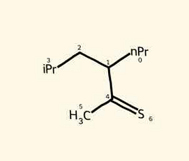 CCCC(CC(C)C)C(C)=S